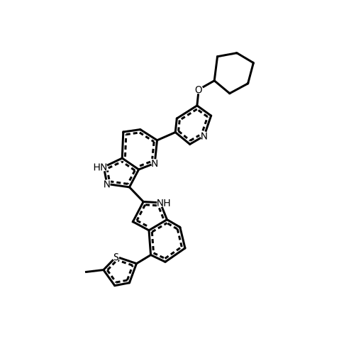 Cc1ccc(-c2cccc3[nH]c(-c4n[nH]c5ccc(-c6cncc(OC7CCCCC7)c6)nc45)cc23)s1